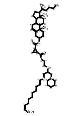 CCCCCCCC/C=C\CCCCCCCCOCC(CN1CCCCC1)OCCOC(=O)C1CC1C(=O)OC1CCC2(C)C(=CCC3C2CCC2(C)C(C(C)CCCC(C)C)CCC32)C1